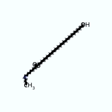 CCCC/C=C\CCCCCCCC(=O)OCCCCCCCCCCCCCCCCCCCCCCCCCCCCCCCCO